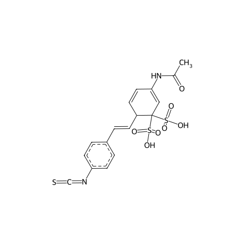 CC(=O)NC1=CC(S(=O)(=O)O)(S(=O)(=O)O)C(C=Cc2ccc(N=C=S)cc2)C=C1